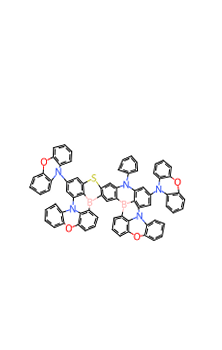 c1ccc(N2c3cc4c(cc3B3c5cccc6c5N(c5ccccc5O6)c5cc(N6c7ccccc7Oc7ccccc76)cc2c53)B2c3cccc5c3N(c3ccccc3O5)c3cc(N5c6ccccc6Oc6ccccc65)cc(c32)S4)cc1